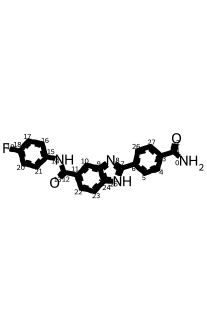 NC(=O)c1ccc(-c2nc3cc(C(=O)Nc4ccc(F)cc4)ccc3[nH]2)cc1